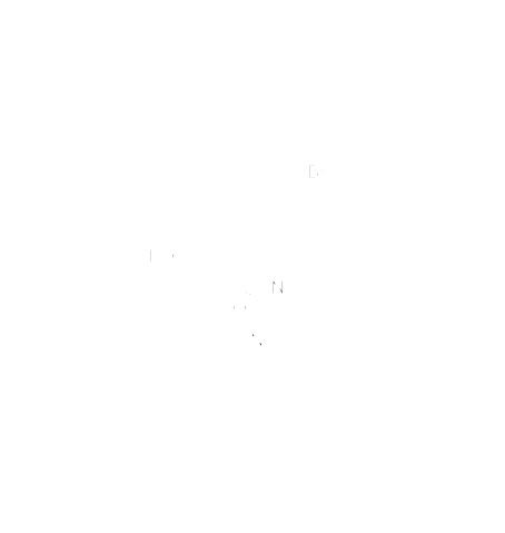 CCCC(=O)N(c1ccc(Br)cc1)C1CCCCCC1N1CCCC1